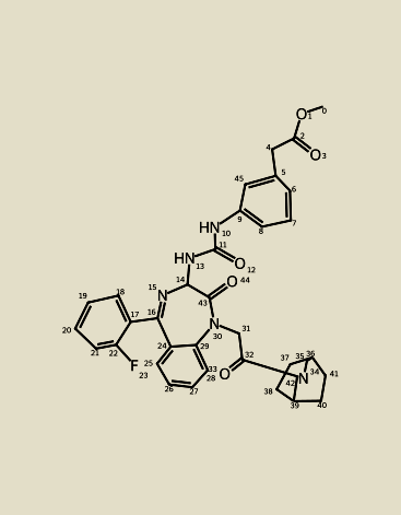 COC(=O)Cc1cccc(NC(=O)NC2N=C(c3ccccc3F)c3ccccc3N(CC(=O)N3CC4CCC(CC4)C3)C2=O)c1